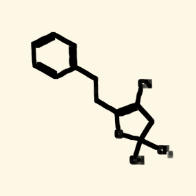 N#CC1=C(CCc2ccccc2)OC(O)(C(F)(F)F)C1